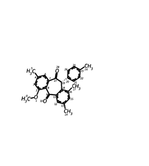 COc1cc(C)cc2c1C(=O)c1cc(C)cc(C)c1[C@@H](c1ccc(C)cc1)C2=O